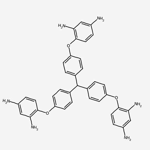 Nc1ccc(Oc2ccc(C(c3ccc(Oc4ccc(N)cc4N)cc3)c3ccc(Oc4ccc(N)cc4N)cc3)cc2)c(N)c1